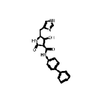 O=C(Nc1ccc(-c2ccccc2)cc1)C1C(=O)NC(Cc2c[nH]cn2)C1O